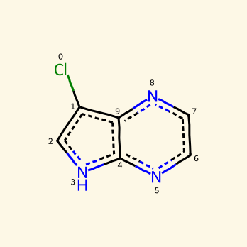 Clc1c[nH]c2nccnc12